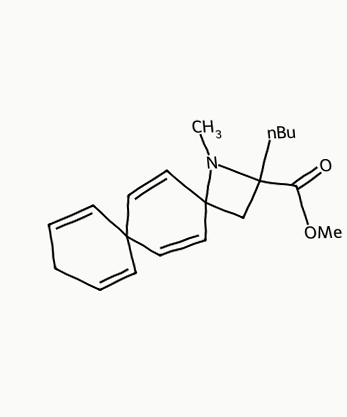 CCCCC1(C(=O)OC)CC2(C=CC3(C=CCC=C3)C=C2)N1C